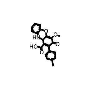 COC1=C2Oc3ccccc3NC2C(C(=O)O)=C(c2ccc(C)cc2)C1=O